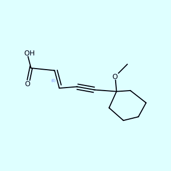 COC1(C#C/C=C/C(=O)O)CCCCC1